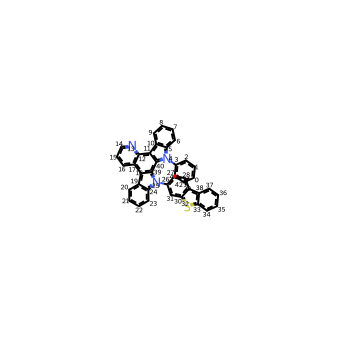 c1ccc(-n2c3ccccc3c3c4ncccc4c4c5ccccc5n(-c5ccc6c(c5)sc5ccccc56)c4c32)cc1